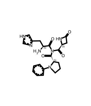 N[C@@H](Cc1c[nH]cn1)C(=O)N(C(=O)[C@@H]1CC(=O)N1)C(=O)[C@@H]1CCCN1c1ccccc1